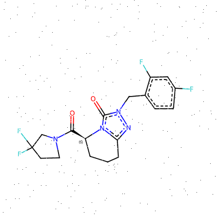 O=C([C@@H]1CCCc2nn(Cc3ccc(F)cc3F)c(=O)n21)N1CCC(F)(F)C1